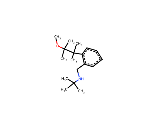 COC(C)(C)C(C)(C)c1ccccc1CNC(C)(C)C